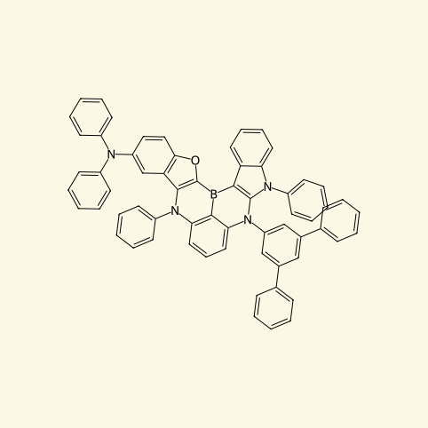 c1ccc(-c2cc(-c3ccccc3)cc(N3c4cccc5c4B(c4oc6ccc(N(c7ccccc7)c7ccccc7)cc6c4N5c4ccccc4)c4c3n(-c3ccccc3)c3ccccc43)c2)cc1